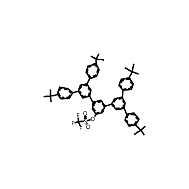 CC(C)(C)c1ccc(-c2cc(-c3ccc(C(C)(C)C)cc3)cc(-c3cc(OS(=O)(=O)C(F)(F)F)cc(-c4cc(-c5ccc(C(C)(C)C)cc5)cc(-c5ccc(C(C)(C)C)cc5)c4)c3)c2)cc1